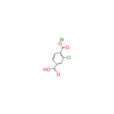 O=C(O)c1ccc(C(=O)OBr)c(Cl)c1